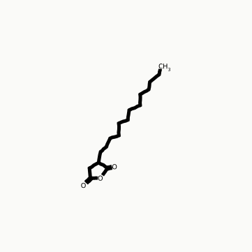 CCCCCCCCCCCCCC1CC(=O)OC1=O